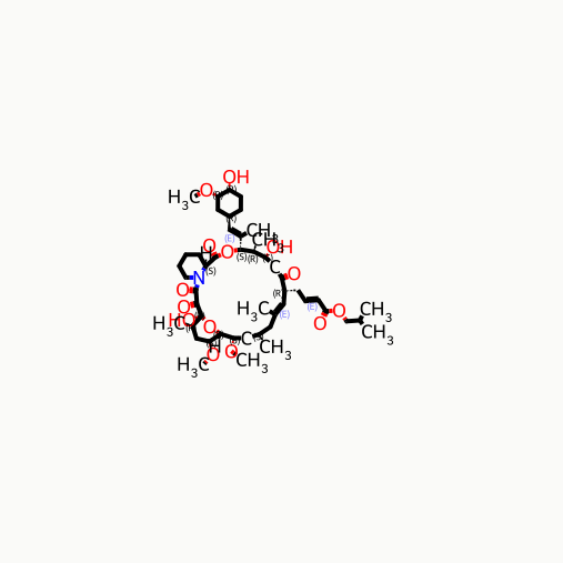 CO[C@H]1C[C@@H](C)C/C(C)=C/[C@@H](C/C=C/C(=O)OCC(C)C)C(=O)C[C@H](O)[C@@H](C)[C@@H](/C(C)=C/[C@@H]2CC[C@@H](O)[C@H](OC)C2)OC(=O)[C@@H]2CCCCN2C(=O)C(=O)[C@]2(O)O[C@H]1[C@@H](OC)C[C@H]2C